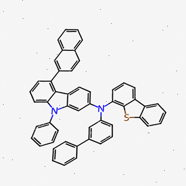 c1ccc(-c2cccc(N(c3ccc4c5c(-c6ccc7ccccc7c6)cccc5n(-c5ccccc5)c4c3)c3cccc4c3sc3ccccc34)c2)cc1